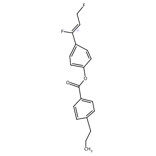 CCCc1ccc(C(=O)Oc2ccc(/C(F)=C/CF)cc2)cc1